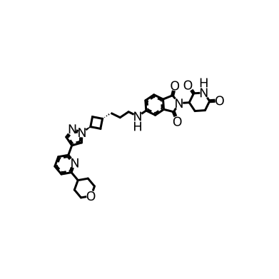 O=C1CCC(N2C(=O)c3ccc(NCCC[C@H]4C[C@H](n5cc(-c6cccc(C7CCOCC7)n6)cn5)C4)cc3C2=O)C(=O)N1